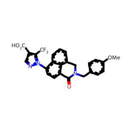 COc1ccc(CN2Cc3cccc4c(-n5ncc(C(=O)O)c5C(F)(F)F)ccc(c34)C2=O)cc1